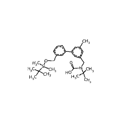 Cc1cc(CN(C(=O)O)C(C)(C)C)cc(-c2cccc(CO[Si](C)(C)C(C)(C)C)c2)c1